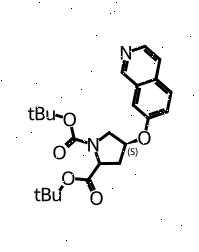 CC(C)(C)OC(=O)C1C[C@H](Oc2ccc3ccncc3c2)CN1C(=O)OC(C)(C)C